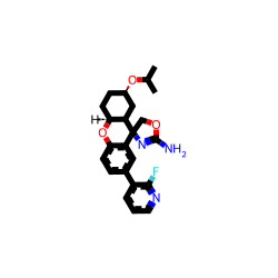 CC(C)O[C@H]1CC[C@@H]2Oc3ccc(-c4cccnc4F)cc3C3(COC(N)=N3)C2C1